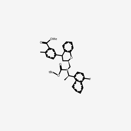 COC(=O)c1cc(C2C[C@H](CN(C(=O)OC(C)(C)C)[C@H](C)c3ccc(F)c4ccccc34)Oc3ccccc32)ccc1C